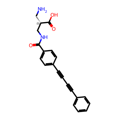 NC[C@@H](CNC(=O)c1ccc(C#CC#Cc2ccccc2)cc1)C(=O)O